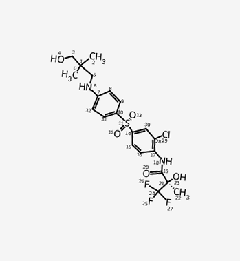 CC(C)(CO)CNc1ccc(S(=O)(=O)c2ccc(NC(=O)[C@@](C)(O)C(F)(F)F)c(Cl)c2)cc1